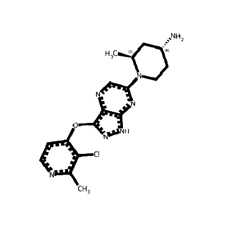 Cc1nccc(Oc2n[nH]c3nc(N4CC[C@@H](N)C[C@@H]4C)cnc23)c1Cl